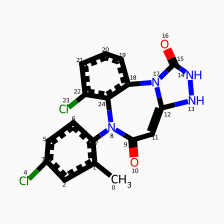 Cc1cc(Cl)ccc1N1C(=O)C=C2NNC(=O)N2c2cccc(Cl)c21